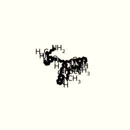 CCCCCCCCCCCCCC(CCCNOc1cc(NC(C)CCCN)c2ncccc2c1)(CCCNOc1cc(NC(C)CCCN)c2ncccc2c1)CCCNOc1cc(NC(C)CCCN)c2ncccc2c1